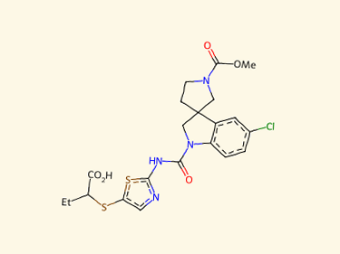 CCC(Sc1cnc(NC(=O)N2CC3(CCN(C(=O)OC)C3)c3cc(Cl)ccc32)s1)C(=O)O